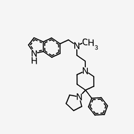 CN(CCN1CCC(c2ccccc2)(N2CCCC2)CC1)Cc1ccc2[nH]ccc2c1